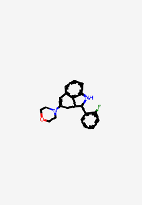 Fc1ccccc1C1Nc2cccc3c2C1CC(N1CCOCC1)=C3